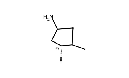 CC1CC(N)C[C@H]1C